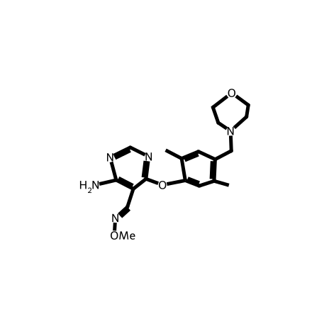 CO/N=C/c1c(N)ncnc1Oc1cc(C)c(CN2CCOCC2)cc1C